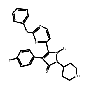 CCn1c(-c2ccnc(Oc3ccccc3)n2)c(-c2ccc(F)cc2)c(=O)n1C1CCNCC1